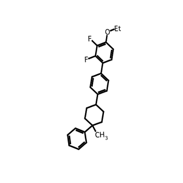 CCOc1ccc(-c2ccc(C3CCC(C)(c4ccccc4)CC3)cc2)c(F)c1F